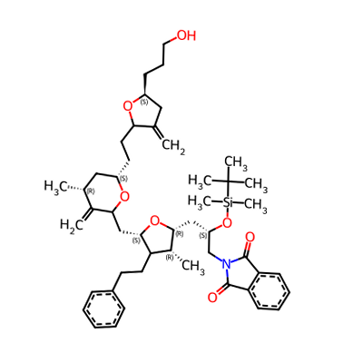 C=C1C[C@H](CCCO)OC1CC[C@H]1C[C@@H](C)C(=C)C(C[C@@H]2O[C@H](C[C@@H](CN3C(=O)c4ccccc4C3=O)O[Si](C)(C)C(C)(C)C)[C@H](C)C2CCc2ccccc2)O1